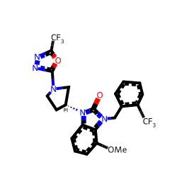 COc1cccc2c1n(Cc1ccccc1C(F)(F)F)c(=O)n2[C@@H]1CCN(c2nnc(C(F)(F)F)o2)C1